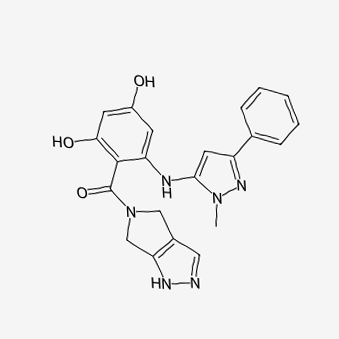 Cn1nc(-c2ccccc2)cc1Nc1cc(O)cc(O)c1C(=O)N1Cc2cn[nH]c2C1